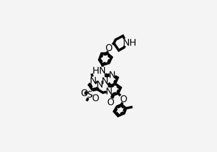 Cc1ccccc1Oc1cc2cnc(Nc3ccc(OC4CCNCC4)cc3)nc2n(Cc2nn(C)cc2S(C)(=O)=O)c1=O